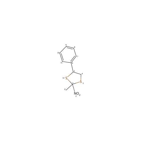 CC1([N+](=O)[O-])SCC(c2ccccc2)S1